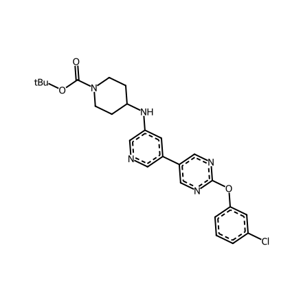 CC(C)(C)OC(=O)N1CCC(Nc2cncc(-c3cnc(Oc4cccc(Cl)c4)nc3)c2)CC1